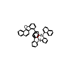 c1cc(-c2cccc3oc4c5ccccc5ccc4c23)cc(N(c2ccccc2-n2c3ccccc3c3ccccc32)c2cccc3ccccc23)c1